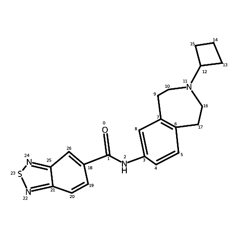 O=C(Nc1ccc2c(c1)CCN(C1CCC1)CC2)c1ccc2nsnc2c1